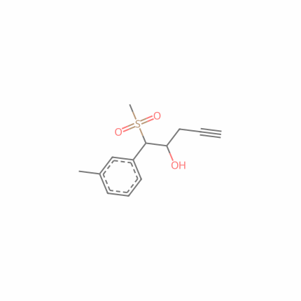 C#CCC(O)C(c1cccc(C)c1)S(C)(=O)=O